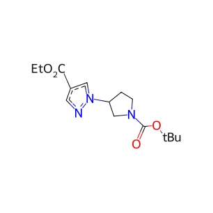 CCOC(=O)c1cnn(C2CCN(C(=O)OC(C)(C)C)C2)c1